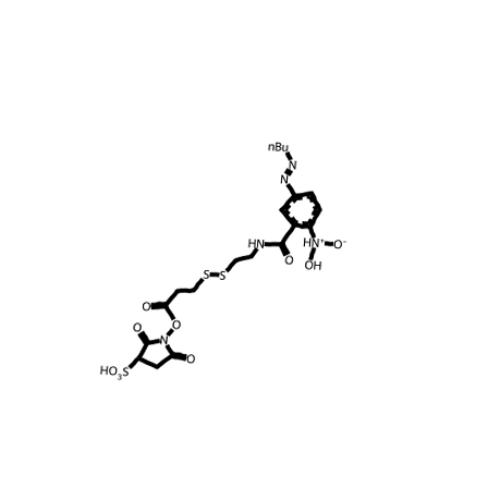 CCCC/N=N/c1ccc([NH+]([O-])O)c(C(=O)NCCSSCCC(=O)ON2C(=O)CC(S(=O)(=O)O)C2=O)c1